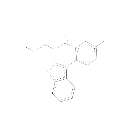 CCOCO[C@H](CC)c1cc(Cl)ccc1-n1nnc2ccccc21